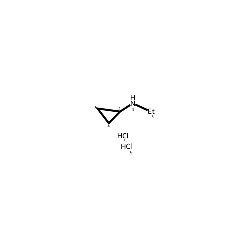 CCNC1CC1.Cl.Cl